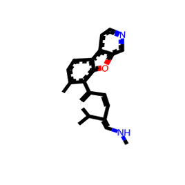 C=C(/C=C\C(=C/NC)C(C)C)c1c(C)ccc2c1oc1cnccc12